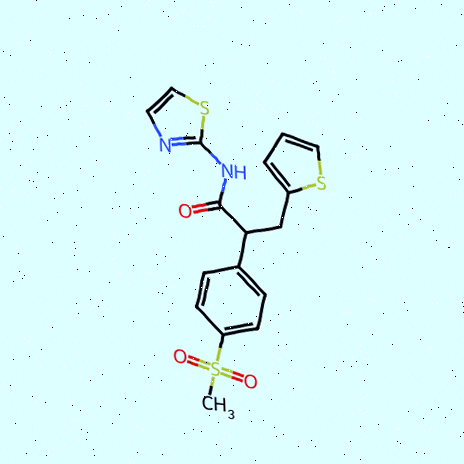 CS(=O)(=O)c1ccc(C(Cc2cccs2)C(=O)Nc2nccs2)cc1